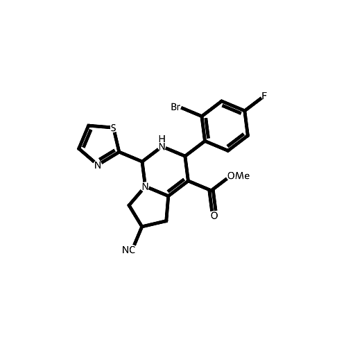 COC(=O)C1=C2CC(C#N)CN2C(c2nccs2)NC1c1ccc(F)cc1Br